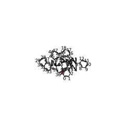 c1ccc(-c2nc(-c3ccccc3)nc(-c3cccc4c3sc3c(-n5c6c7ccccc7ccc6c6ccc7ccccc7c65)cccc34)n2)cc1